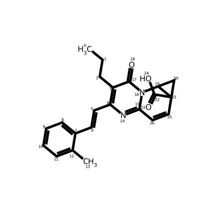 CCCc1c(/C=C/c2ccccc2C)nc2n(c1=O)C1CC1(C(=O)O)C=C2